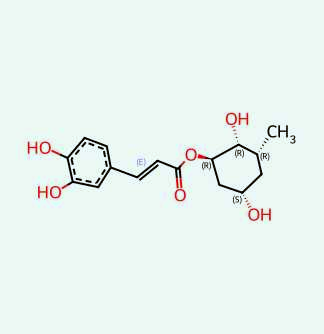 C[C@@H]1C[C@H](O)C[C@@H](OC(=O)/C=C/c2ccc(O)c(O)c2)[C@@H]1O